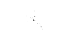 CC(C)N(C(C)C)[P@@](O)OCCC#N